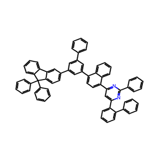 c1ccc(-c2cc(-c3ccc4c(c3)-c3ccccc3C4(c3ccccc3)c3ccccc3)cc(-c3ccc(-c4cc(-c5ccccc5-c5ccccc5)nc(-c5ccccc5)n4)c4ccccc34)c2)cc1